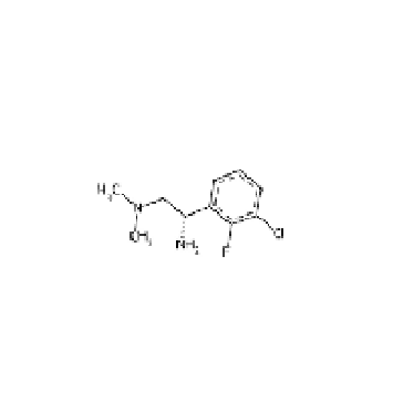 CN(C)C[C@@H](N)c1cccc(Cl)c1F